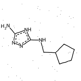 Nc1nnc(NCC2CCCC2)[nH]1